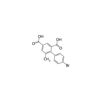 Cc1cc(C(=O)O)cc(C(=O)O)c1-c1ccc(Br)cc1